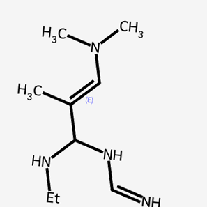 CCNC(NC=N)/C(C)=C/N(C)C